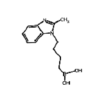 Cc1nc2ccccc2n1CCCCB(O)O